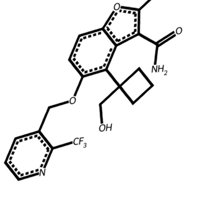 Cc1oc2ccc(OCc3cccnc3C(F)(F)F)c(C3(CO)CCC3)c2c1C(N)=O